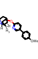 COc1ccc(-c2ccc(O[C@@H]3C4CCN(CC4)[C@H]3C)nc2)cc1